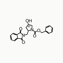 O=C1c2ccccc2C(=O)N1CC1C[C@@H](O)CN1C(=O)OCc1ccccc1